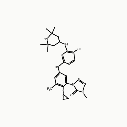 Cn1nnn(-c2cc(Nc3ncc(C#N)c(NC4CC(C)(C)NC(C)(C)C4)n3)cc(C(F)(F)F)c2C2CC2)c1=O